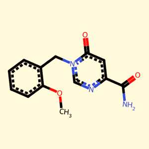 COc1ccccc1Cn1cnc(C(N)=O)cc1=O